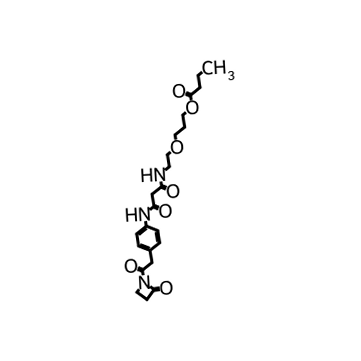 CCCC(=O)OCCCOCCNC(=O)CC(=O)Nc1ccc(CC(=O)N2CCC2=O)cc1